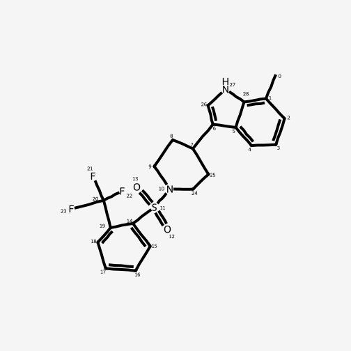 Cc1cccc2c(C3CCN(S(=O)(=O)c4ccccc4C(F)(F)F)CC3)c[nH]c12